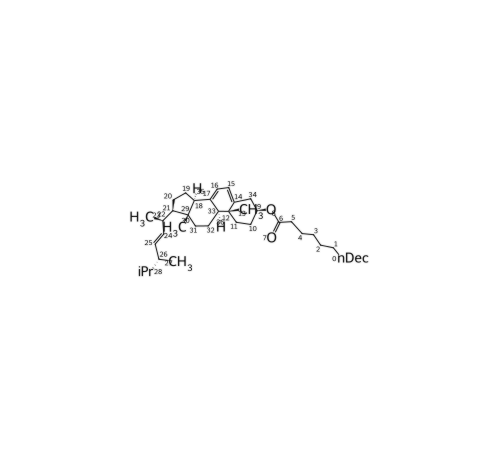 CCCCCCCCCCCCCCCC(=O)O[C@H]1CC[C@@]2(C)C(=CC=C3[C@@H]4CC[C@H]([C@H](C)C=C[C@H](C)C(C)C)[C@@]4(C)CC[C@@H]32)C1